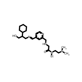 CCN(CCN(C)C)C(=O)CNCc1cc(C=NCC(CO)C2CCCCC2)ccn1